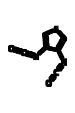 O=C=Nc1cscc1N=C=O